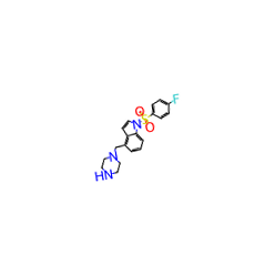 O=S(=O)(c1ccc(F)cc1)n1ccc2c(CN3CCNCC3)cccc21